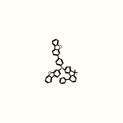 CC1(C)c2ccc(N(c3ccc(-c4ccc5c(c4)oc4ccccc45)cc3)c3ccc4c(c3)oc3ccccc34)cc2-c2c(-c3ccccc3)cccc21